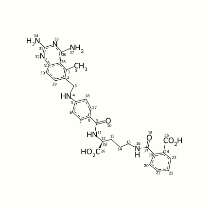 Cc1c(CNc2ccc(C(=O)N[C@@H](CCCNC(=O)c3ccccc3C(=O)O)C(=O)O)cc2)ccc2nc(N)nc(N)c12